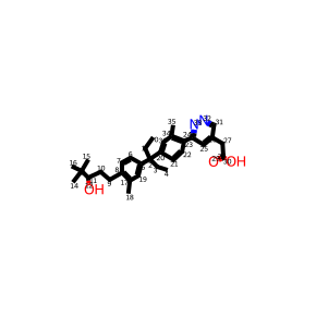 CCC(CC)(c1ccc(CCC(O)C(C)(C)C)c(C)c1)c1ccc(-c2cc(CC(=O)O)cnn2)c(C)c1